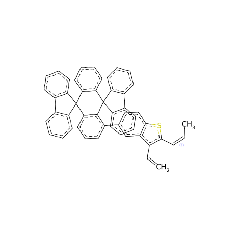 C=Cc1c(/C=C\C)sc2ccc(-c3cccc4c3C3(c5ccccc5-c5ccccc53)c3ccccc3C43c4ccccc4-c4ccccc43)cc12